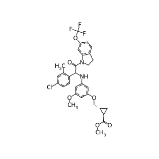 COC(=O)[C@@H]1C[C@H]1COc1cc(NC(C(=O)N2CCc3ccc(OC(F)(F)F)cc32)c2ccc(Cl)cc2C)cc(OC)c1